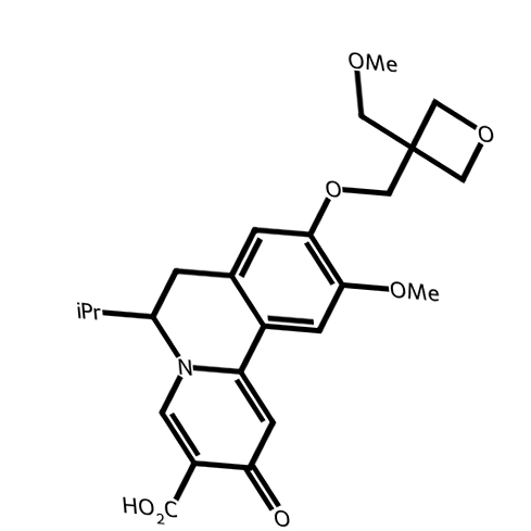 COCC1(COc2cc3c(cc2OC)-c2cc(=O)c(C(=O)O)cn2C(C(C)C)C3)COC1